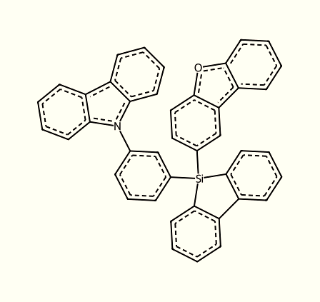 c1cc(-n2c3ccccc3c3ccccc32)cc([Si]2(c3ccc4oc5ccccc5c4c3)c3ccccc3-c3ccccc32)c1